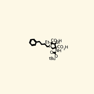 CCC1[C@](CC)(C(=O)O)N(CCCCc2ccccc2)C[C@@]1(NC(=O)OC(C)(C)C)C(=O)O